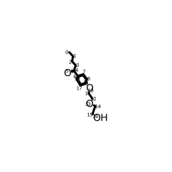 CCCCC(=O)c1ccc(OCCOCCO)cc1